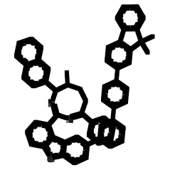 CC1CC/C(c2ccccc2)=N\C(c2cccc3oc4ccc(-c5cccc(-c6ccc(-c7ccc8c(c7)C(C)(C)c7ccccc7-8)cc6)c5)cc4c23)=N/C1c1ccc2ccccc2c1